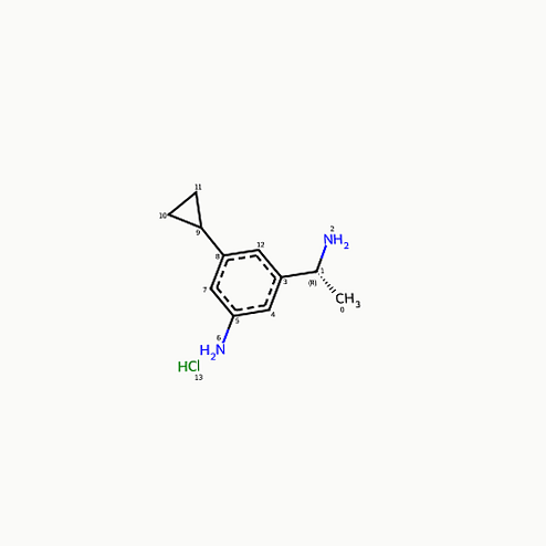 C[C@@H](N)c1cc(N)cc(C2CC2)c1.Cl